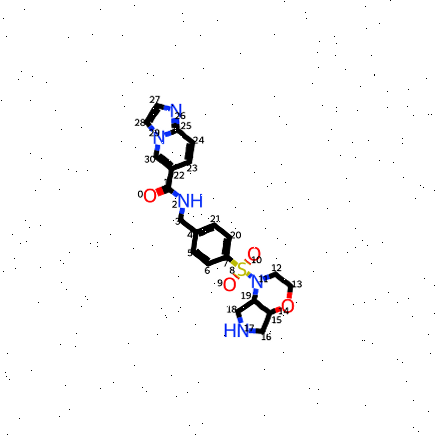 O=C(NCc1ccc(S(=O)(=O)N2CCOC3CNCC32)cc1)c1ccc2nccn2c1